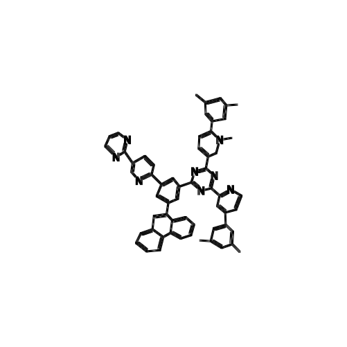 Cc1cc(C)cc(C2=CC=C(c3nc(-c4cc(-c5ccc(-c6ncccn6)cn5)cc(-c5cc6ccccc6c6ccccc56)c4)nc(-c4cc(-c5cc(C)cc(C)c5)ccn4)n3)CN2C)c1